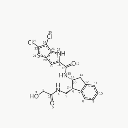 O=C(CO)NC[C@@H]1c2ccccc2C[C@H]1NC(=O)c1cc2sc(Cl)c(Cl)c2[nH]1